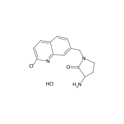 Cl.NC1CCN(Cc2ccc3ccc(Cl)nc3c2)C1=O